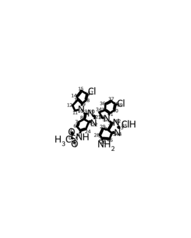 CS(=O)(=O)Nc1ccc2c(N3CCc4ccc(Cl)cc43)ncnc2c1.Cl.Nc1ccc2c(N3CCc4ccc(Cl)cc43)ncnc2c1